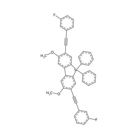 COc1cc2c(cc1C#Cc1cccc(F)c1)[Si](c1ccccc1)(c1ccccc1)c1cc(C#Cc3cccc(F)c3)c(OC)cc1-2